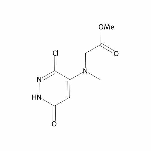 COC(=O)CN(C)c1cc(=O)[nH]nc1Cl